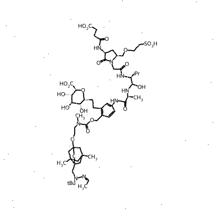 C/C=N\N(CC12CC3(C)CC(OCCN(C)C(=O)OCc4ccc(NC(=O)[C@H](C)NC(O)[C@@H](NC(=O)CN5C(=O)[C@@H](NC(=O)CCC(=O)O)C[C@H]5COCCS(=O)(=O)O)C(C)C)cc4CC[C@@H]4O[C@H](C(=O)O)[C@@H](O)[C@H](O)[C@H]4O)(CC1(C)C3)C2)C(C)(C)C